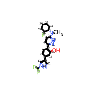 CN(c1ccc(-c2ccc(-c3cnn(C(F)F)c3)cc2O)nn1)[C@H]1CCCC[C@H]1F